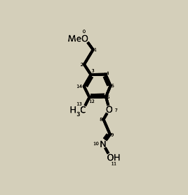 COCCc1ccc(OCC=NO)c(C)c1